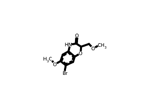 COCC1Oc2cc(Br)c(OC)cc2NC1=O